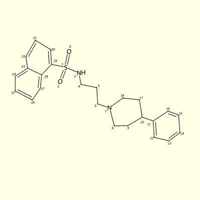 O=S(=O)(NCCCN1CCC(c2ccccc2)CC1)c1cccc2ccccc12